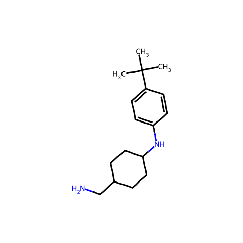 CC(C)(C)c1ccc(NC2CCC(CN)CC2)cc1